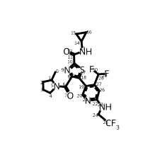 CC1CCCN1C(=O)c1nc(C(=O)NC2CC2)sc1-c1cnc(NCC(F)(F)F)cc1C(F)F